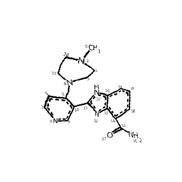 CN1CCN(c2ccncc2-c2nc3c(C(N)=O)cccc3[nH]2)CC1